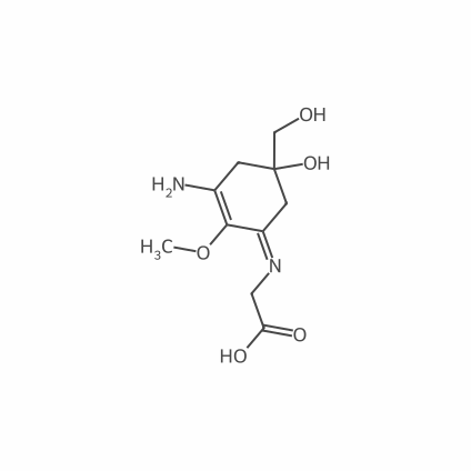 COC1=C(N)CC(O)(CO)CC1=NCC(=O)O